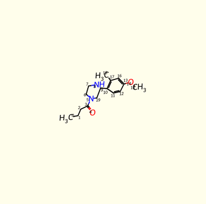 CCCC(=O)N1CCNC(c2ccc(OC)cc2C)C1